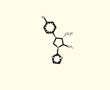 CC1[C@@H](C(=O)O)[C@H](c2ccc(Cl)cc2)CN1c1nccs1